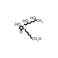 CC(O)CCC[C@H](O)/C=C/[C@H]1[C@H](O)CC(=O)[C@@H]1CCCCCCC(=O)O